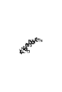 Cc1ccc(C)n1-c1noc2c(N3CCC(NC(=O)c4ccc(-n5cnc(CO)n5)cc4Cl)C3)cc(Cl)cc12